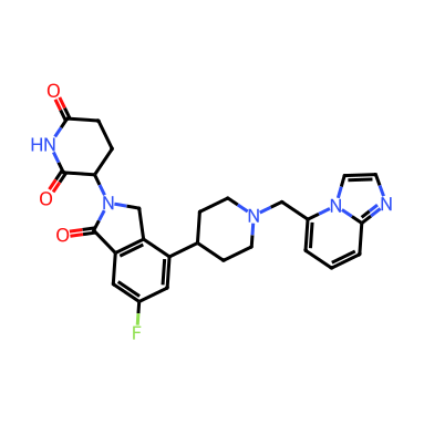 O=C1CCC(N2Cc3c(cc(F)cc3C3CCN(Cc4cccc5nccn45)CC3)C2=O)C(=O)N1